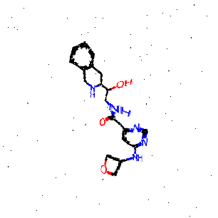 O=C(NCC(O)C1Cc2ccccc2CN1)c1cc(NC2COC2)ncn1